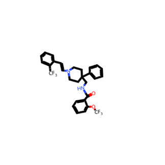 O=C(NCC1(c2ccccc2)CCN(C=Cc2ccccc2C(F)(F)F)CC1)c1ccccc1OC(F)(F)F